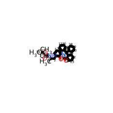 C[C@H](Cc1cccc2c1oc(=O)n2C(c1ccccc1)(c1ccccc1)c1ccccc1)NC(=O)OC(C)(C)C